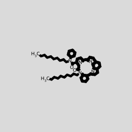 CCCCCCCCCCN(C(=O)c1ccc2nc1c(=O)n(CCCCCCCCCC)c1ccccc1c1ccc3ccc4ccc2nc4c3n1)c1ccccc1